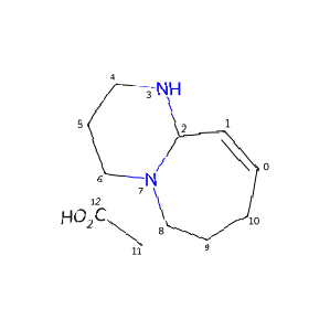 C1=CC2NCCCN2CCC1.CC(=O)O